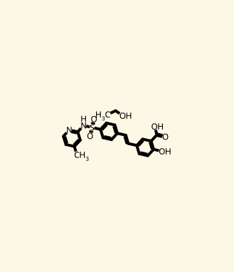 CCO.Cc1ccnc(NS(=O)(=O)c2ccc(C=Cc3ccc(O)c(C(=O)O)c3)cc2)c1